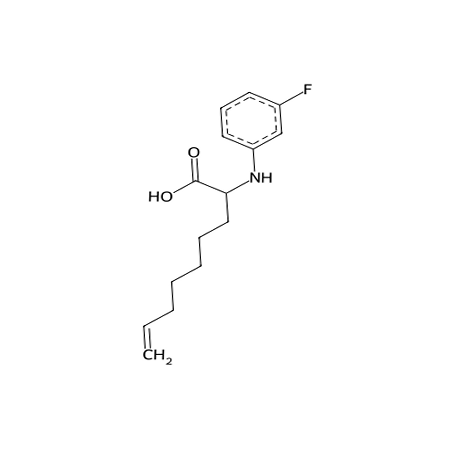 C=CCCCCCC(Nc1cccc(F)c1)C(=O)O